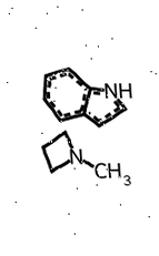 CN1CCC1.c1ccc2[nH]ccc2c1